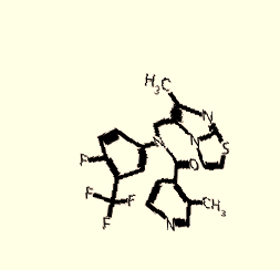 Cc1cnccc1C(=O)N(Cc1c(C)nc2sccn12)c1ccc(F)c(C(F)(F)F)c1